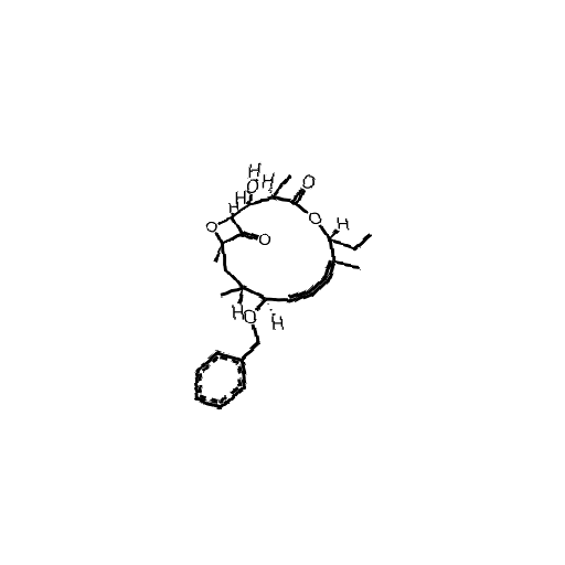 CC[C@H]1OC(=O)[C@H](C)[C@@H](O)[C@@H]2O[C@@](C)(C[C@@H](C)[C@H](OCc3ccccc3)C=C=C=C1C)C2=O